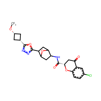 O=C1C[C@@H](C(=O)NC2CC3OC2CC3c2nnc([C@H]3C[C@@H](OC(F)(F)F)C3)o2)Oc2ccc(Cl)cc21